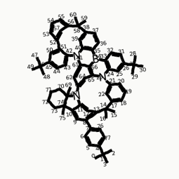 CC(C)(C)c1ccc(-c2cc3c4cc2C(C)(C)c2cccc(c2)N2c5cc(C(C)(C)C)ccc5B5c6ccc7cc6N(c6ccc(C(C)(C)C)cc6-c6cccc(c6)C7(C)C)c6cc(cc2c65)N4C2(C)CCCCC32C)cc1